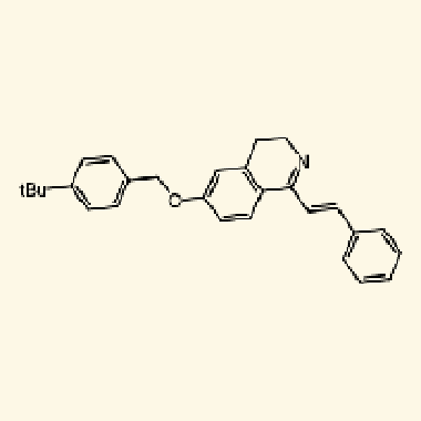 CC(C)(C)c1ccc(COc2ccc3c(c2)CCN=C3C=Cc2ccccc2)cc1